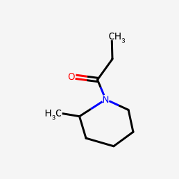 CCC(=O)N1CCCCC1C